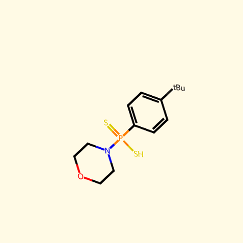 CC(C)(C)c1ccc(P(=S)(S)N2CCOCC2)cc1